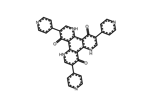 O=c1c(-c2ccncc2)c[nH]c2c1c1[nH]cc(-c3ccncc3)c(=O)c1c1[nH]cc(-c3ccncc3)c(=O)c21